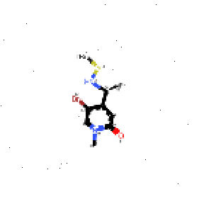 CC(C)[C@H](NSC(C)(C)C)c1cc(=O)n(C)cc1Br